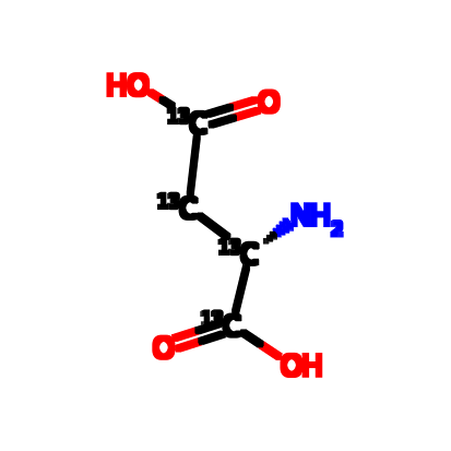 N[13C@@H]([13CH2][13C](=O)O)[13C](=O)O